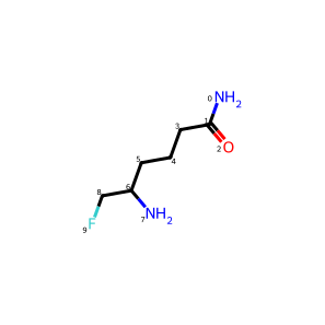 NC(=O)CCCC(N)CF